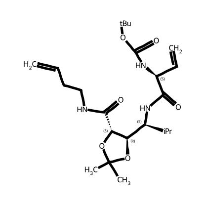 C=CCCNC(=O)[C@H]1OC(C)(C)O[C@@H]1[C@@H](NC(=O)[C@H](C=C)NC(=O)OC(C)(C)C)C(C)C